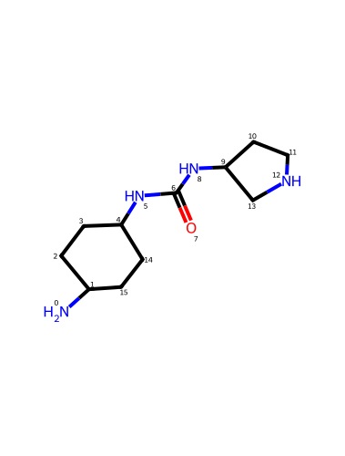 NC1CCC(NC(=O)NC2CCNC2)CC1